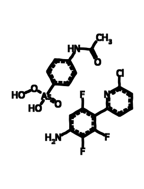 CC(=O)Nc1ccc([As](=O)(O)OO)cc1.Nc1cc(F)c(-c2cccc(Cl)n2)c(F)c1F